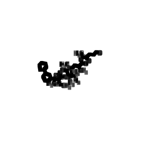 CNC(C(=O)NC(C(=O)N(C)C/C=C(\C)C(=O)ON(C)C(=O)CCC=O)C(C)(C)C)C(C)(C)c1cccc(-c2ccccc2)c1